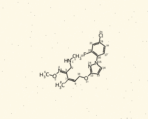 CNCC(=N/OC)/C(C)=C\COc1ccn(-c2ccc(Cl)cc2F)n1